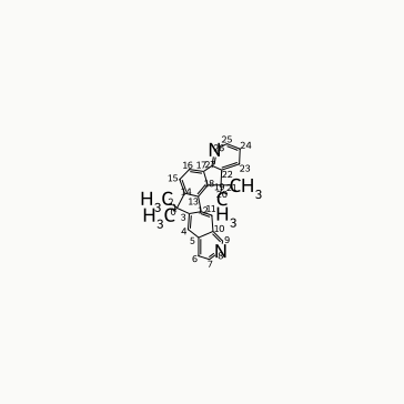 CC1(C)c2cc3ccncc3cc2-c2c1ccc1c2C(C)(C)c2cccnc2-1